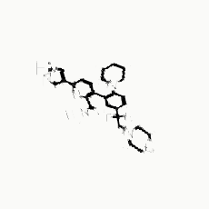 NC(=O)c1nc(-c2cn[nH]c2)ccc1-c1cc(C(F)(F)CN2CCOCC2)ccc1N1CCCCC1